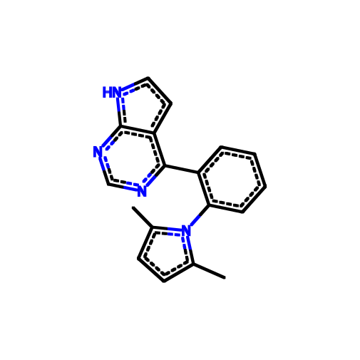 Cc1ccc(C)n1-c1ccccc1-c1ncnc2[nH]ccc12